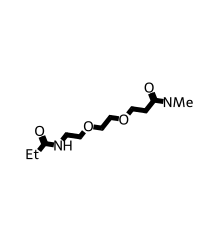 CCC(=O)NCCOCCOCCC(=O)NC